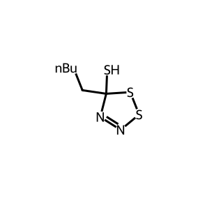 CCCCCC1(S)N=NSS1